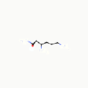 NCCCC(N)CC(N)=O